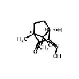 CC1(C)[C@H]2CC[C@@]1(C)C(=O)C2=NO